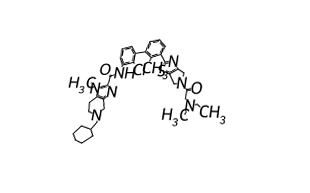 CCN(C)CC(=O)N1Cc2nc(-c3cccc(-c4cccc(NC(=O)c5nc6c(n5C)CCN(CC5CCCCC5)C6)c4Cl)c3C)sc2C1